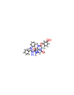 CN(C)c1cccc(CN2C[C@H]3N(C(=O)CN3N(C)C(=O)NCc3ccccc3)[C@@H](Cc3ccc(O)cc3)C2=O)c1